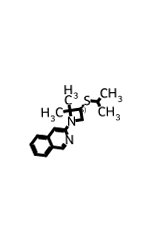 CC(C)S[C@H]1CN(c2cc3ccccc3cn2)C1(C)C